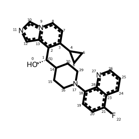 O[C@H](c1c(C2CC2)ccn2cncc12)C1CCN(c2ccc(F)c3cccnc23)CC1